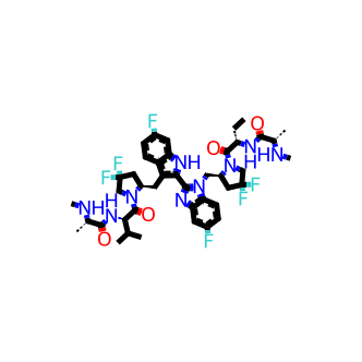 CC[C@H](NC(=O)[C@H](C)NC)C(=O)N1CC(F)(F)C[C@H]1Cn1c(-c2[nH]c3cc(F)ccc3c2C[C@@H]2CC(F)(F)CN2C(=O)[C@@H](NC(=O)[C@H](C)NC)C(C)C)nc2cc(F)ccc21